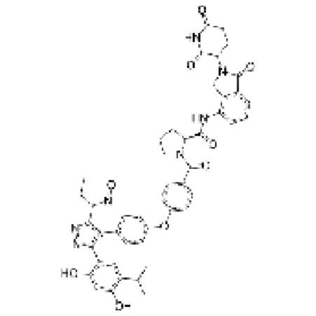 CCC(N=O)c1nnc(-c2cc(C(C)C)c(O)cc2O)n1-c1ccc(Oc2ccc(C(=O)N3CCC[C@H]3C(=O)Nc3cccc4c3CN(C3CCC(=O)NC3=O)C4=O)cc2)cc1